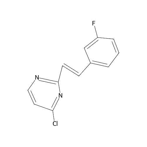 Fc1cccc(C=Cc2nccc(Cl)n2)c1